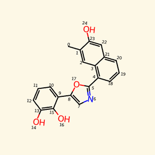 Cc1cc2c(-c3ncc(-c4cccc(O)c4O)o3)cccc2cc1O